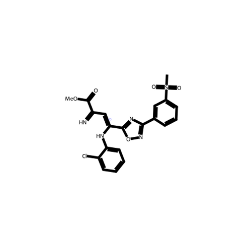 COC(=O)C(=N)/C=C(\Nc1ccccc1Cl)c1nc(-c2cccc(S(C)(=O)=O)c2)no1